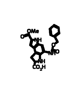 COC(=O)c1cc2c3c(c(NC(=O)OCc4ccccc4)cc2[nH]1)NC(C(=O)O)C3